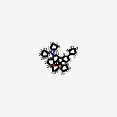 c1ccc(-c2ccc3c(c2)-c2cc(N(c4ccccc4)c4ccccc4)c4ccccc4c2C3(c2ccccc2)c2ccccc2)cc1